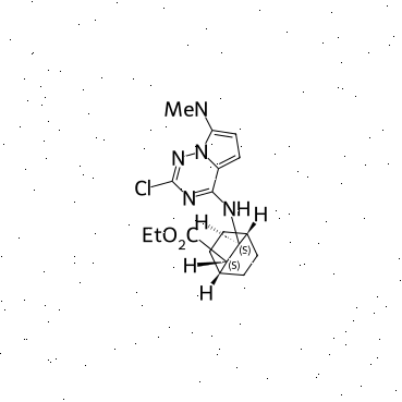 CCOC(=O)[C@H]1[C@H]2CC[C@H](CC2)[C@@H]1Nc1nc(Cl)nn2c(NC)ccc12